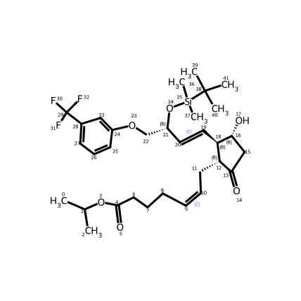 CC(C)OC(=O)CCC/C=C\C[C@H]1C(=O)C[C@@H](O)[C@@H]1/C=C/[C@H](COc1cccc(C(F)(F)F)c1)O[Si](C)(C)C(C)(C)C